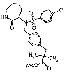 COC(=O)C(C)(C)Cc1ccc(CN(C2CCCCNC2=O)S(=O)(=O)c2ccc(Cl)cc2)cc1